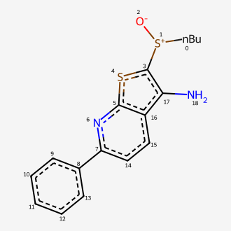 CCCC[S+]([O-])c1sc2nc(-c3ccccc3)ccc2c1N